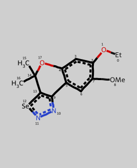 CCOc1cc2c(cc1OC)-c1nn[se]c1C(C)(C)O2